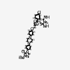 CC[C@@H](C)n1ncn(-c2ccc(N3CCN(c4ccc(OC[C@@H]5CO[C@@](CSC(=N)N(C)C=N)(c6ccc(Cl)cc6)O5)cc4)CC3)cc2)c1=O